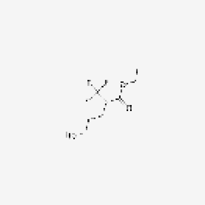 CCOC(=O)C(CCCO)C(F)(F)F